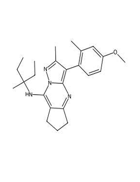 CCC(C)(CC)Nc1c2c(nc3c(-c4ccc(OC)cc4C)c(C)nn13)CCC2